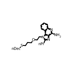 CCCCCCCCCCSCCCOCCn1c(CCC)nc2c(N)nc3ccccc3c21